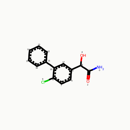 NC(=O)C(O)c1ccc(Cl)c(-c2ccccc2)c1